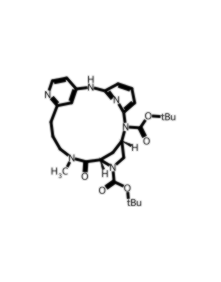 CN1CCCc2cc(ccn2)Nc2cccc(n2)N(C(=O)OC(C)(C)C)[C@H]2C[C@@H](C1=O)N(C(=O)OC(C)(C)C)C2